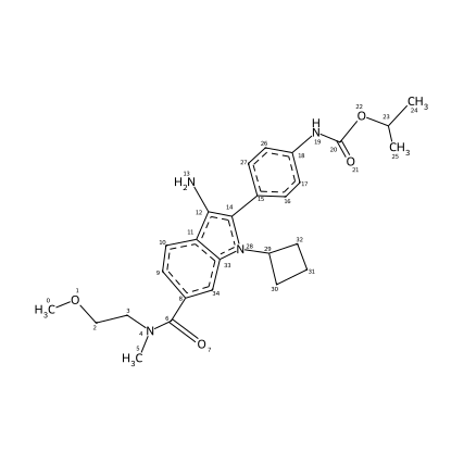 COCCN(C)C(=O)c1ccc2c(N)c(-c3ccc(NC(=O)OC(C)C)cc3)n(C3CCC3)c2c1